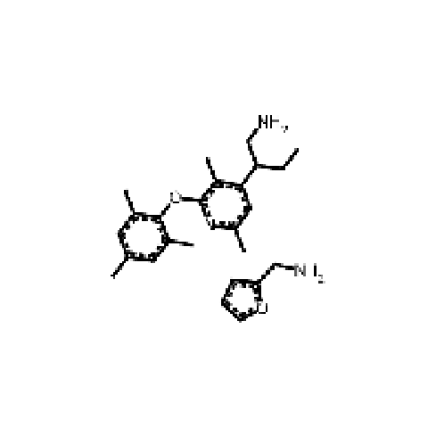 CCC(CN)c1cc(C)nc(Oc2c(C)cc(C)cc2C)c1C.NCc1ccco1